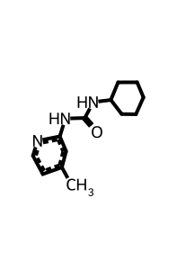 Cc1ccnc(NC(=O)NC2CCCCC2)c1